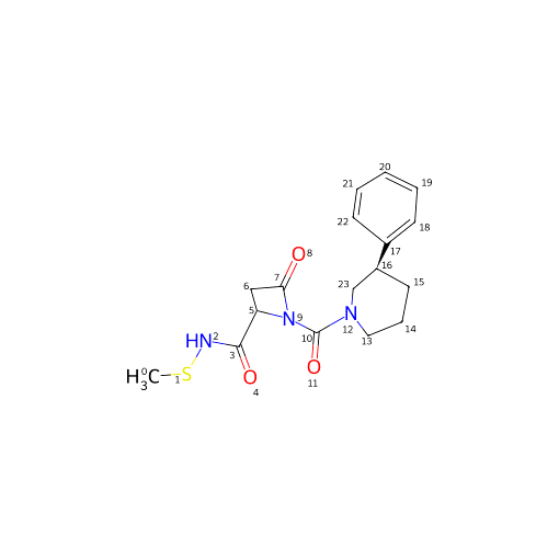 CSNC(=O)C1CC(=O)N1C(=O)N1CCC[C@H](c2ccccc2)C1